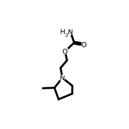 CC1CCCN1CCOC(N)=O